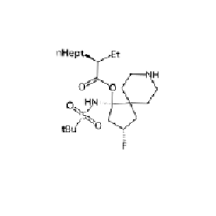 CCCCCCC[C@@H](CC)C(=O)O[C@]1(NS(=O)(=O)C(C)(C)C)C[C@@H](F)CC12CCNCC2